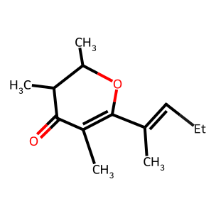 CCC=C(C)C1=C(C)C(=O)C(C)C(C)O1